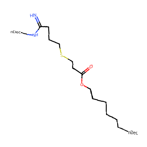 CCCCCCCCCCCCCCCCOC(=O)CCSCCCC(=N)NCCCCCCCCCC